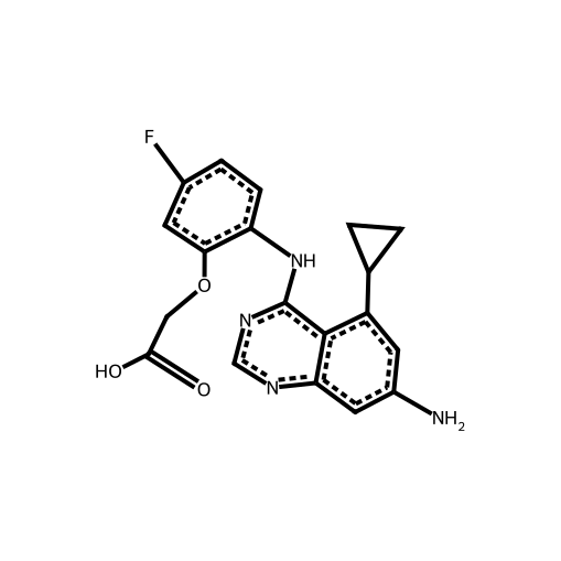 Nc1cc(C2CC2)c2c(Nc3ccc(F)cc3OCC(=O)O)ncnc2c1